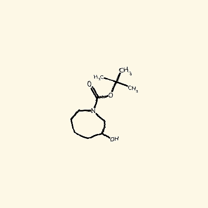 CC(C)(C)OC(=O)N1CCCCC(O)C1